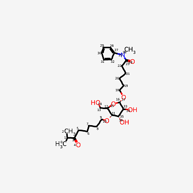 CC(C)C(=O)CCCCCO[C@@H]1C(CO)O[C@H](OCCCCCC(=O)N(C)c2ccccc2)C(O)[C@@H]1O